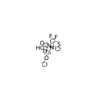 O=C1c2c(O)c(=O)ccn2N(C2c3ccccc3SCc3c2ccc(F)c3F)CC12CC2COCc1ccccc1